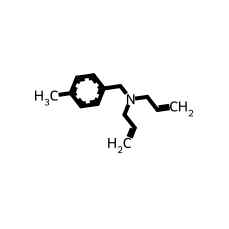 C=CCN(CC=C)Cc1ccc(C)cc1